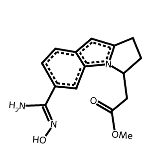 COC(=O)CC1CCc2cc3ccc(C(N)=NO)cc3n21